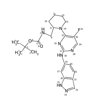 CC(C)(C)OC(=O)NCC1CCCCN1c1nc(Nc2ccc3cn[nH]c3c2)ncc1F